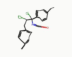 Cc1ccc(C(Cl)C(Cl)(N=C=O)c2ccc(C)cc2)cc1